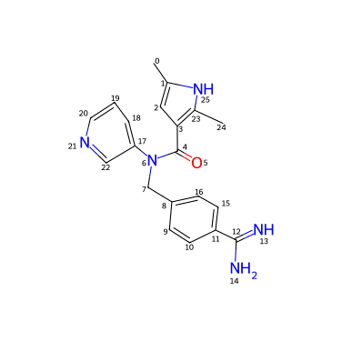 Cc1cc(C(=O)N(Cc2ccc(C(=N)N)cc2)c2cccnc2)c(C)[nH]1